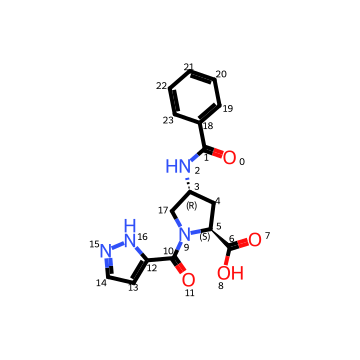 O=C(N[C@@H]1C[C@@H](C(=O)O)N(C(=O)c2ccn[nH]2)C1)c1ccccc1